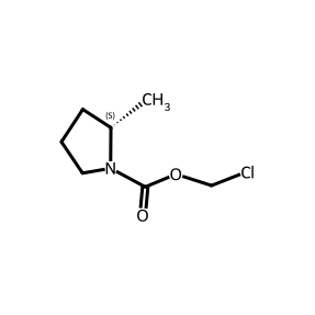 C[C@H]1CCCN1C(=O)OCCl